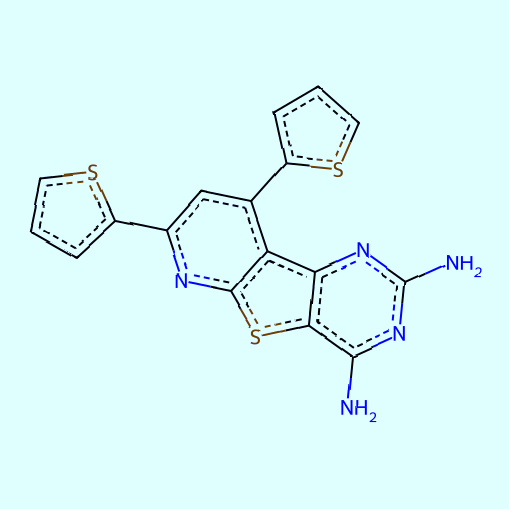 Nc1nc(N)c2sc3nc(-c4cccs4)cc(-c4cccs4)c3c2n1